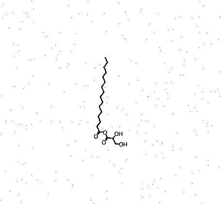 CCCCCCCCCCCCCCCC(=O)OC(=O)C(O)CO